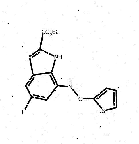 CCOC(=O)c1cc2cc(F)cc(NOc3cccs3)c2[nH]1